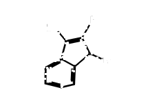 CCC1=C(CC)c2ccccc2[C]1Br